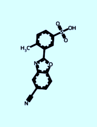 Cc1ccc(S(=O)(=O)O)cc1-c1nc2cc(C#N)ccc2o1